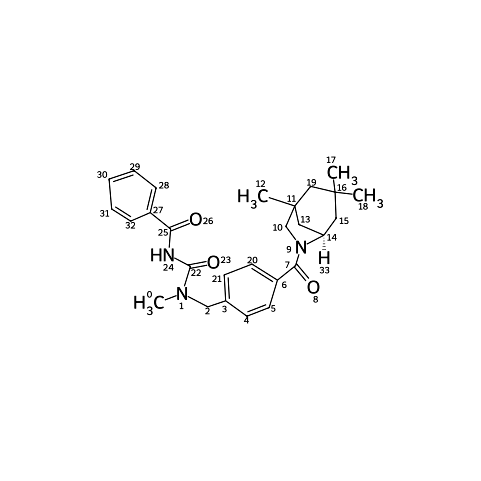 CN(Cc1ccc(C(=O)N2CC3(C)C[C@H]2CC(C)(C)C3)cc1)C(=O)NC(=O)c1ccccc1